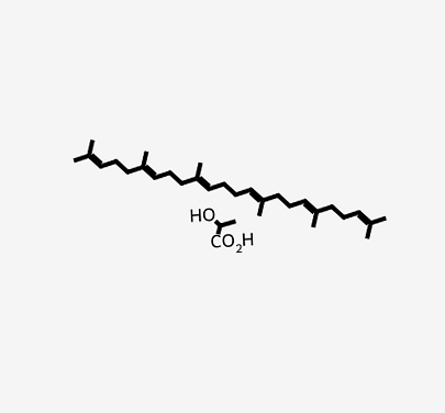 CC(C)=CCC/C(C)=C/CC/C(C)=C/CC/C=C(\C)CC/C=C(\C)CCC=C(C)C.CC(O)C(=O)O